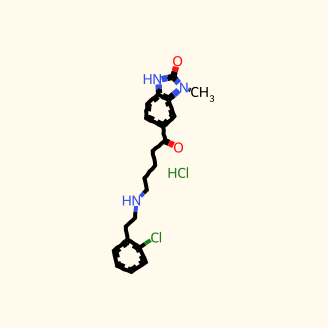 Cl.Cn1c(=O)[nH]c2ccc(C(=O)CCCCNCCc3ccccc3Cl)cc21